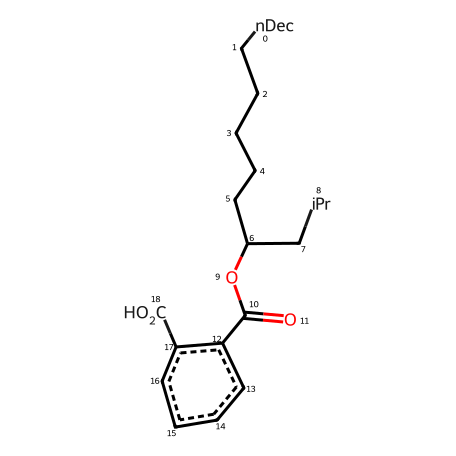 CCCCCCCCCCCCCCCC(CC(C)C)OC(=O)c1ccccc1C(=O)O